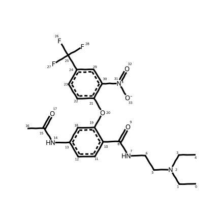 CCN(CC)CCNC(=O)c1ccc(NC(C)=O)cc1Oc1ccc(C(F)(F)F)cc1[N+](=O)[O-]